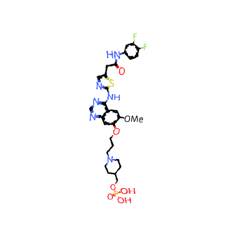 COc1cc2c(Nc3ncc(CC(=O)Nc4ccc(F)c(F)c4)s3)ncnc2cc1OCCCN1CCC(COP(=O)(O)O)CC1